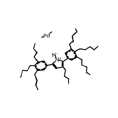 CCCCCc1cc(C2=C(CCCC)C=C(c3cc(CCCC)c(CCCC)c(CCCC)c3)[N+]2=[N-])cc(CCCCC)c1CCCCC.[CH3][Pd][CH3]